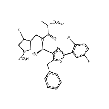 CC(=O)O[C@@H](C)C(=O)N(CC1CN(C(=O)O)CC1F)[C@@H](c1nc(-c2cc(F)ccc2F)sc1Cc1ccccc1)C(C)(C)C